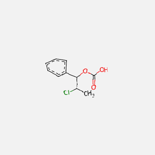 CC(Cl)C(OC(=O)O)c1ccccc1